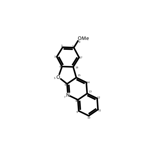 COc1ccc2oc3nc4ccccc4cc3c2c1